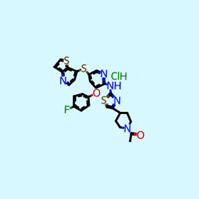 CC(=O)N1CCC(c2csc(Nc3ncc(Sc4ccnc5ccsc45)cc3Oc3ccc(F)cc3)n2)CC1.Cl